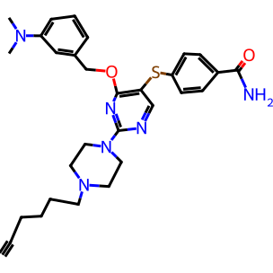 C#CCCCCN1CCN(c2ncc(Sc3ccc(C(N)=O)cc3)c(OCc3cccc(N(C)C)c3)n2)CC1